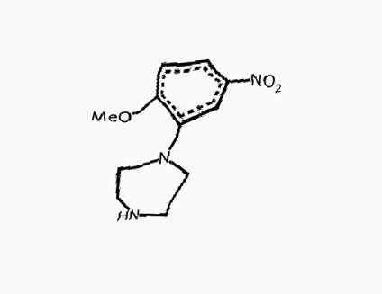 COc1ccc([N+](=O)[O-])cc1N1CCNCC1